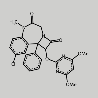 COc1cc(OC)nc(OC2C(=O)N3CC(=O)N(C)c4ccc(Cl)cc4C23c2ccccc2)n1